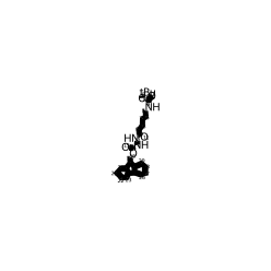 CC(C)(C)OC(=O)NCCCCCC(=O)NNC(=O)OCC1c2ccccc2-c2ccccc21